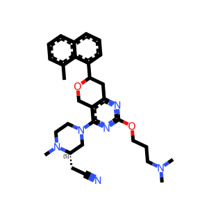 Cc1cccc2cccc(C3Cc4nc(OCCCN(C)C)nc(N5CCN(C)[C@@H](CC#N)C5)c4CO3)c12